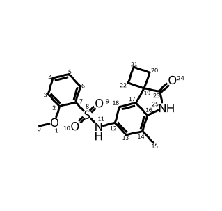 COc1ccccc1S(=O)(=O)Nc1cc(C)c2c(c1)C1(CCC1)C(=O)N2